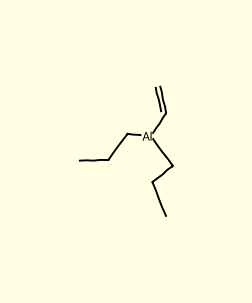 C=[CH][Al]([CH2]CC)[CH2]CC